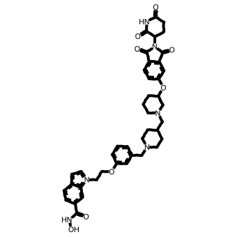 O=C1CCC(N2C(=O)c3ccc(OC4CCCN(CC5CCN(Cc6cccc(OCCn7ccc8ccc(C(=O)NO)cc87)c6)CC5)C4)cc3C2=O)C(=O)N1